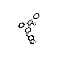 O=C1N(C2CCCCC2)C[C@@H](c2ccccc2)N1C1CCN(Cc2ccc3nccn3c2)CC1